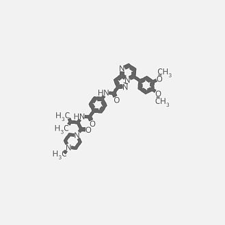 COc1ccc(-c2ccnc3cc(C(=O)Nc4ccc(C(=O)NC(C(=O)N5CCN(C)CC5)C(C)C)cc4)nn23)cc1OC